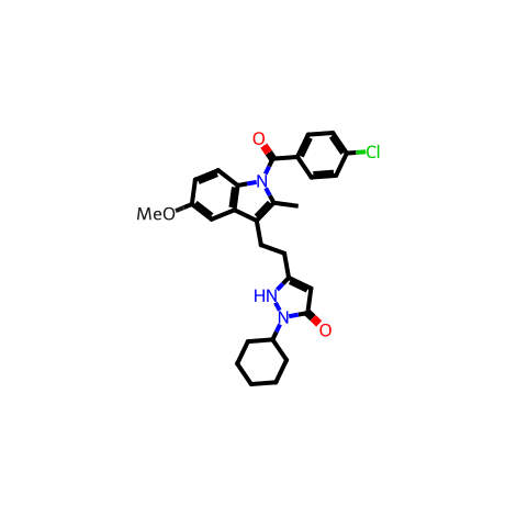 COc1ccc2c(c1)c(CCc1cc(=O)n(C3CCCCC3)[nH]1)c(C)n2C(=O)c1ccc(Cl)cc1